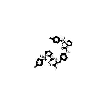 Cc1ccc(S(=O)(=O)N2CCC[C@H]2C(=O)Nc2ccc(C[C@H](NC(=O)[C@@H]3CCCN3S(=O)(=O)c3ccc(C)cc3)C(=O)O)cc2)cc1